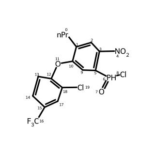 CCCc1cc([N+](=O)[O-])c([PH](=O)Cl)cc1Oc1ccc(C(F)(F)F)cc1Cl